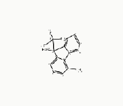 Cc1cccc2c1-c1ncccc1C2(O)C(F)(F)F